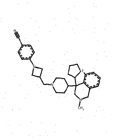 CN1Cc2cccc(F)c2C(C2CCCC2)(C2CCN(CC3CN(c4ccc(C#N)cc4)C3)CC2)C1